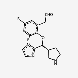 O=CCc1cc(F)cc(F)c1OC(c1ncco1)[C@H]1CCNC1